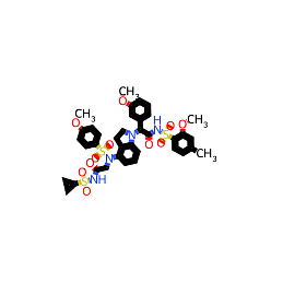 COc1ccc(S(=O)(=O)N(CC(=O)NS(=O)(=O)C2CC2)c2cccc3c2CCN3C(C(=O)NS(=O)(=O)c2ccc(C)cc2OC)c2cccc(OC)c2)cc1